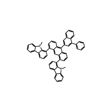 Cp1c2ccccc2c2cccc(-c3cccc4c(-c5cc(-c6ccccc6)c6ccccc6c5)c5cccc(-c6cccc7c8ccccc8p(C)c67)c5cc34)c21